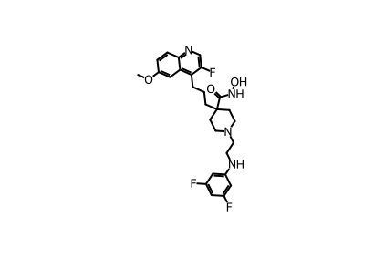 COc1ccc2ncc(F)c(CCCC3(C(=O)NO)CCN(CCNc4cc(F)cc(F)c4)CC3)c2c1